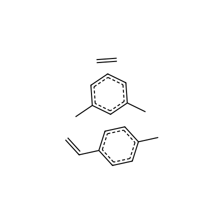 C=C.C=Cc1ccc(C)cc1.Cc1cccc(C)c1